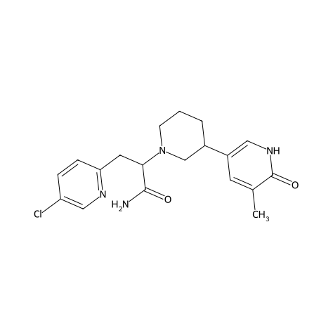 Cc1cc(C2CCCN(C(Cc3ccc(Cl)cn3)C(N)=O)C2)c[nH]c1=O